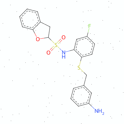 Nc1cccc(CSc2ccc(F)cc2NS(=O)(=O)C2Cc3ccccc3O2)c1